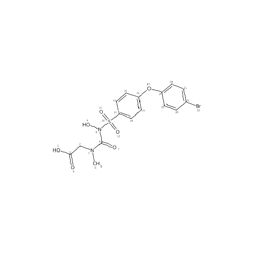 CN(CC(=O)O)C(=O)N(O)S(=O)(=O)c1ccc(Oc2ccc(Br)cc2)cc1